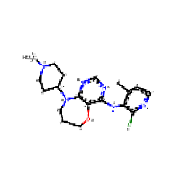 Cc1ccnc(Cl)c1Nc1ncnc2c1OCCCN2C1CCN(C(=O)O)CC1